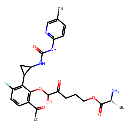 CCC(=O)c1ccc(F)c(C2CC2NC(=O)Nc2ccc(C#N)cn2)c1OC(O)C(=O)CCCOC(=O)[C@@H](N)[C@@H](C)CC